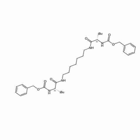 CCC(C)[C@H](NC(=O)OCc1ccccc1)C(=O)NCCCCCCCNC(=O)[C@@H](NC(=O)OCc1ccccc1)C(C)CC